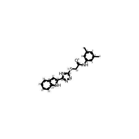 Cc1cc(C)cc(NC(=O)CSc2nnc(-c3cc4ccccc4[nH]3)[nH]2)c1